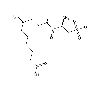 CN(CCCCCC(=O)O)CCNC(=O)[C@@H](N)CS(=O)(=O)O